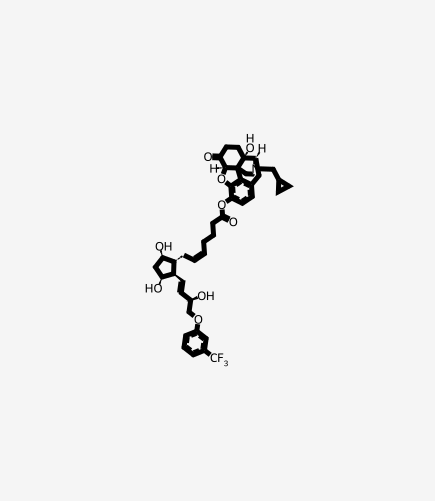 O=C(CCC/C=C\C[C@@H]1[C@@H](/C=C/[C@@H](O)COc2cccc(C(F)(F)F)c2)[C@H](O)C[C@@H]1O)Oc1ccc2c3c1O[C@H]1C(=O)CC[C@@]4(O)[C@@H](C2)N(CC2CC2)CCC314